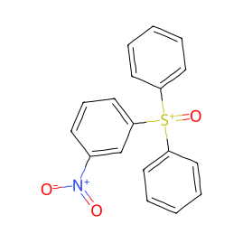 O=[N+]([O-])c1cccc([S+](=O)(c2ccccc2)c2ccccc2)c1